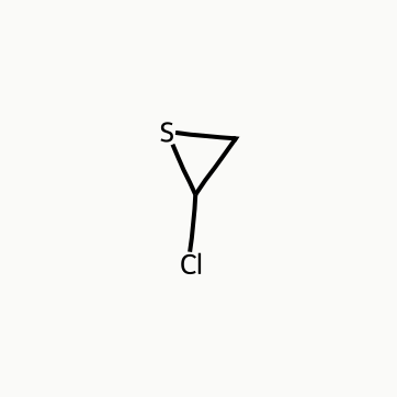 ClC1CS1